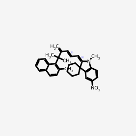 C=C(/C=C/C=C1/N(C)c2ccc([N+](=O)[O-])cc2C12CCCCC2)C(C)(C)c1c(C)ccc2ccccc12